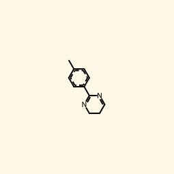 Cc1ccc(C2=NCCC=N2)cc1